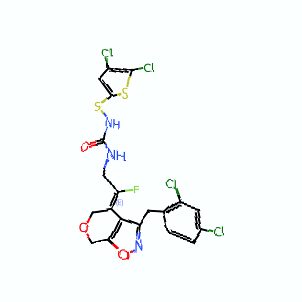 O=C(NC/C(F)=C1\COCc2onc(Cc3ccc(Cl)cc3Cl)c21)NSc1cc(Cl)c(Cl)s1